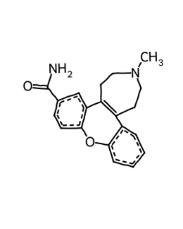 CN1CCC2=C(CC1)c1cc(C(N)=O)ccc1Oc1ccccc12